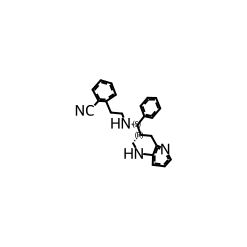 N#Cc1ccccc1CCN[C@H](c1ccccc1)[C@H]1CNc2cccnc2C1